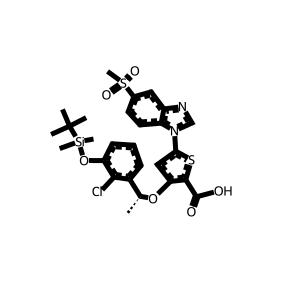 C[C@@H](Oc1cc(-n2cnc3cc(S(C)(=O)=O)ccc32)sc1C(=O)O)c1cccc(O[Si](C)(C)C(C)(C)C)c1Cl